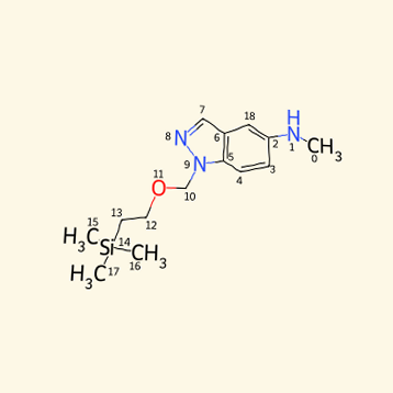 CNc1ccc2c(cnn2COCC[Si](C)(C)C)c1